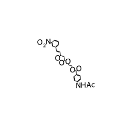 CC(=O)Nc1ccc(C(=O)OCCOC(=O)CC(=O)C=Cc2cccc([N+](=O)[O-])c2)cc1